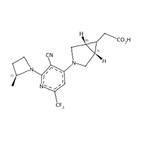 C[C@H]1CCN1c1nc(C(F)(F)F)cc(N2C[C@@H]3C(CC(=O)O)[C@@H]3C2)c1C#N